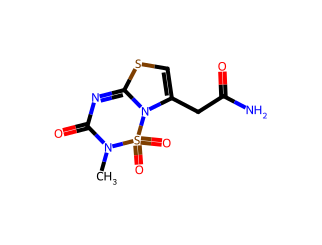 CN1C(=O)N=C2SC=C(CC(N)=O)N2S1(=O)=O